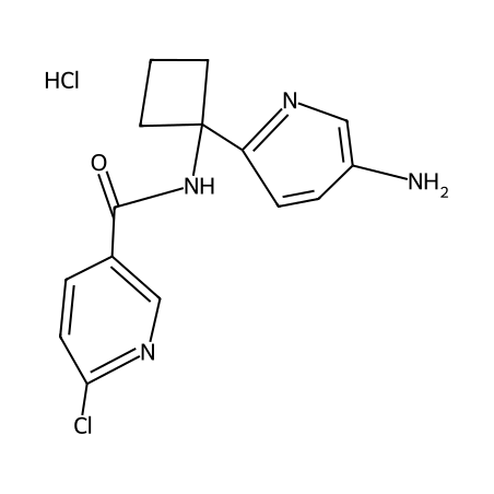 Cl.Nc1ccc(C2(NC(=O)c3ccc(Cl)nc3)CCC2)nc1